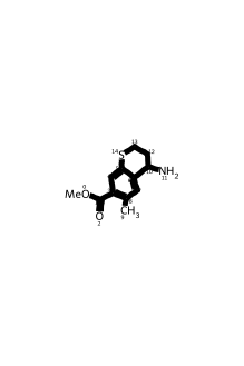 COC(=O)c1cc2c(cc1C)C(N)CCS2